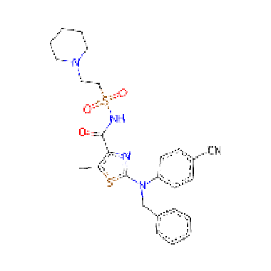 Cc1sc(N(Cc2ccccc2)c2ccc(C#N)cc2)nc1C(=O)NS(=O)(=O)CCN1CCCCC1